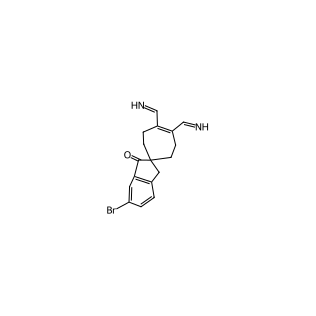 N=CC1=C(C=N)CCC2(CC1)Cc1ccc(Br)cc1C2=O